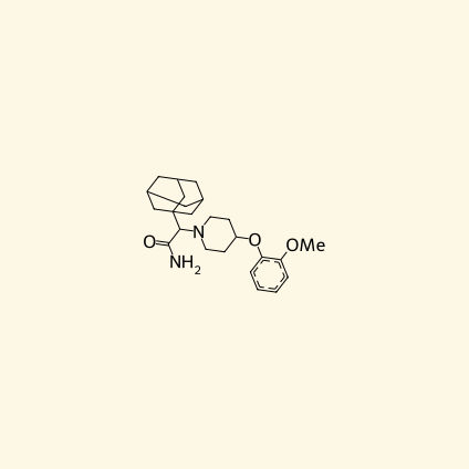 COc1ccccc1OC1CCN(C(C(N)=O)C23CC4CC(CC(C4)C2)C3)CC1